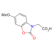 COc1ccc2c(c1)oc(=O)n2CC(=O)O